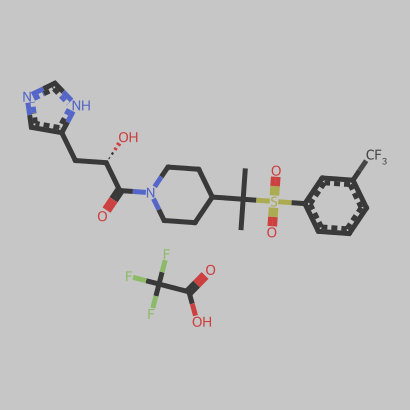 CC(C)(C1CCN(C(=O)[C@@H](O)Cc2cnc[nH]2)CC1)S(=O)(=O)c1cccc(C(F)(F)F)c1.O=C(O)C(F)(F)F